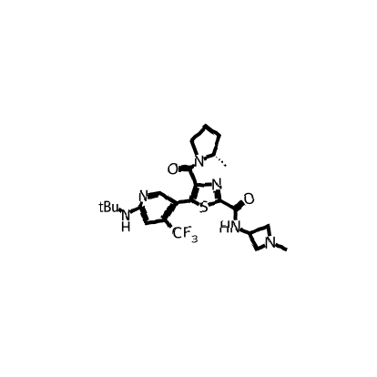 C[C@H]1CCCN1C(=O)c1nc(C(=O)NC2CN(C)C2)sc1-c1cnc(NC(C)(C)C)cc1C(F)(F)F